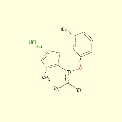 CC[C](CC)=[Ti]([O]c1cccc(C(C)(C)C)c1)[C]1=C(C)C=CC1.Cl.Cl